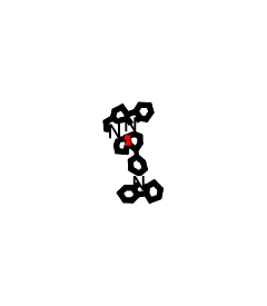 c1ccc(-n2ccc3ccc4c5ccccc5n(-c5ccc(-c6ccc(-n7c8ccccc8c8ccccc87)cc6)cc5)c4c32)cc1